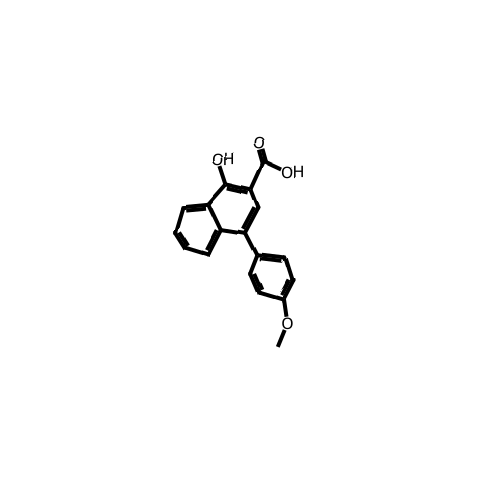 COc1ccc(-c2cc(C(=O)O)c(O)c3ccccc23)cc1